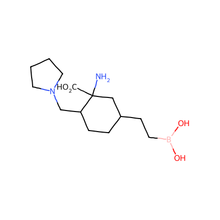 NC1(C(=O)O)CC(CCB(O)O)CCC1CN1CCCC1